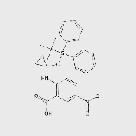 CC(C)(C)[Si](OC1(Nc2ccc([N+](=O)[O-])cc2C(=O)O)CC1)(c1ccccc1)c1ccccc1